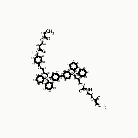 C=CC(=O)OCCNC(=O)OCCC[Si](c1ccccc1)(c1ccccc1)c1ccc(-c2ccc([Si](CCCOc3ccc(NC(=O)CCOC(=O)C=C)cc3)(c3ccccc3)c3ccccc3)cc2)cc1